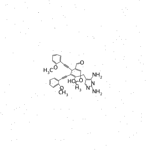 COc1ccccc1C#CC1=C(O)C(Cc2cnc(N)nc2N)(OC)C=C(C=O)C1C#Cc1ccccc1OC